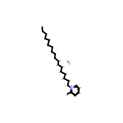 CCCCCCCCCCCCCCCCCC[n+]1ccccc1C.[Br-]